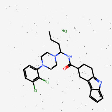 CCCC(NC(=O)C1CCC2=NC3=CC=CC3=C2C1)N1CCN(c2cccc(Cl)c2Cl)CC1.Cl